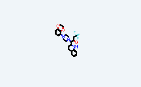 O=C(CC(F)(F)F)C(C1CCc2ccccc2N1)N1CCN(c2cccc3c2OCCO3)CC1